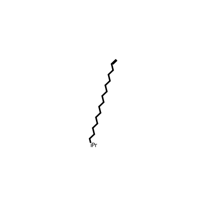 C=CCCCCCCCCCCCCCCC(C)C